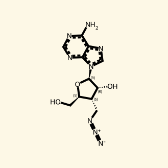 [N-]=[N+]=NC[C@H]1[C@@H](O)[C@H](n2cnc3c(N)ncnc32)O[C@@H]1CO